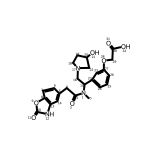 CN(C(=O)Cc1ccc2oc(=O)[nH]c2c1)C(CN1CCC(O)C1)c1cccc(OCC(=O)O)c1